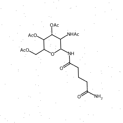 CC(=O)NC1C(NC(=O)CCCC(N)=O)OC(COC(C)=O)C(OC(C)=O)C1OC(C)=O